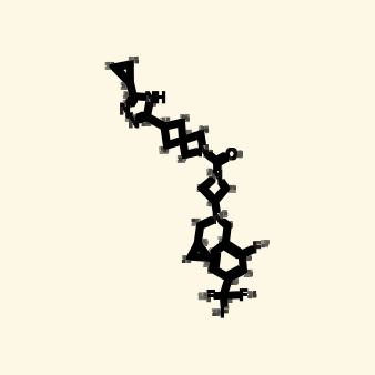 O=C(N1CC(N(Cc2ccc(C(F)(F)F)cc2F)CC2CC2)C1)N1CC2(CC(c3nnc(C4CC4)[nH]3)C2)C1